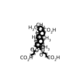 CC1(C)CC[C@]2(C(=O)O)CC[C@]3(C)C(=CC[C@@H]4[C@@]5(C)CC[C@H](OC(=O)CCC(=O)O)C(C)(COC(=O)CCC(=O)O)[C@@H]5CC[C@]43C)[C@@H]2C1